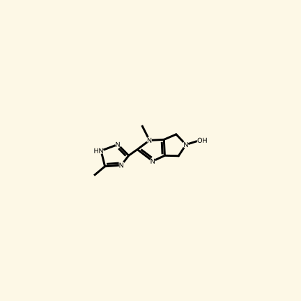 Cc1nc(-c2nc3c(n2C)CN(O)C3)n[nH]1